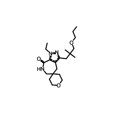 CCCOCC(C)(C)Cc1nn(CC)c2c1CC1(CCOCC1)CNC2=O